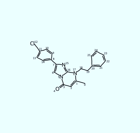 Cc1cc(=O)n2cc(-c3ccc(Cl)cc3)nc2n1CCc1ccccc1